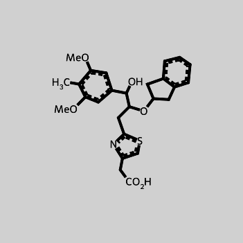 COc1cc(C(O)C(Cc2nc(CC(=O)O)cs2)OC2Cc3ccccc3C2)cc(OC)c1C